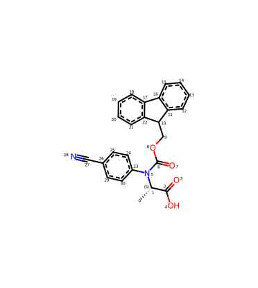 C[C@@H](C(=O)O)N(C(=O)OCC1c2ccccc2-c2ccccc21)c1ccc(C#N)cc1